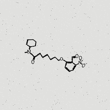 CN(C(=O)CCCCCCOc1cccc([N+](=O)[O-])c1C=O)C1CCCCC1